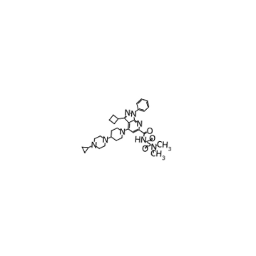 CN(C)S(=O)(=O)NC(=O)c1cc(N2CCC(N3CCN(C4CC4)CC3)CC2)c2c(C3CCC3)nn(-c3ccccc3)c2n1